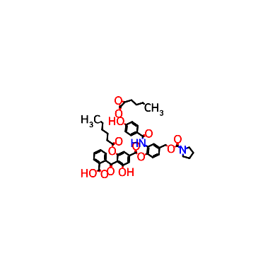 CCCCC1OC1=O.CCCCCC(=O)Oc1cc(C(=O)Oc2ccc(COC(=O)N3CCCC3)cc2NC(=O)c2ccc(O)cc2)cc(O)c1C(=O)c1ccccc1C(=O)O